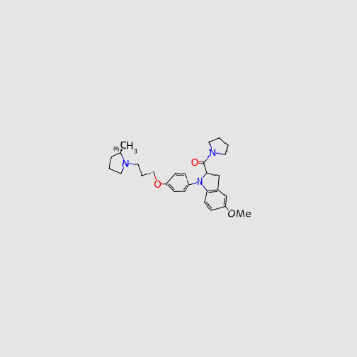 COc1ccc2c(c1)CC(C(=O)N1CCCC1)N2c1ccc(OCCCN2CCC[C@H]2C)cc1